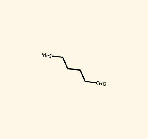 CSCCCCC=O